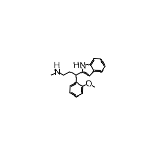 CNCCC(c1cc2ccccc2[nH]1)c1ccccc1OC